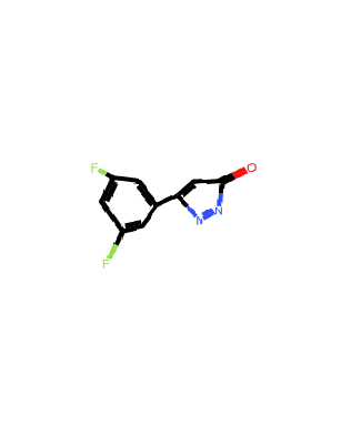 O=C1C=C(c2cc(F)cc(F)c2)N=N1